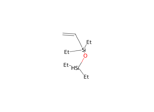 C=C[Si](CC)(CC)O[SiH](CC)CC